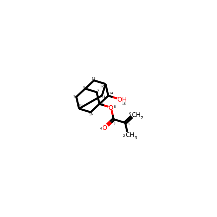 C=C(C)C(=O)OC12CC3CC(CC(C3)C1O)C2